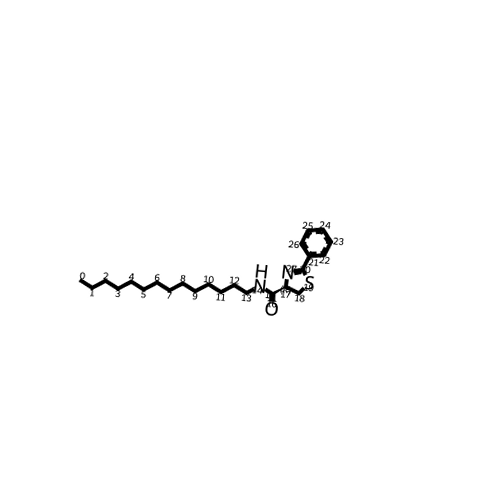 CCCCCCCCCCCCCCNC(=O)[C@@H]1CSC(c2ccccc2)=N1